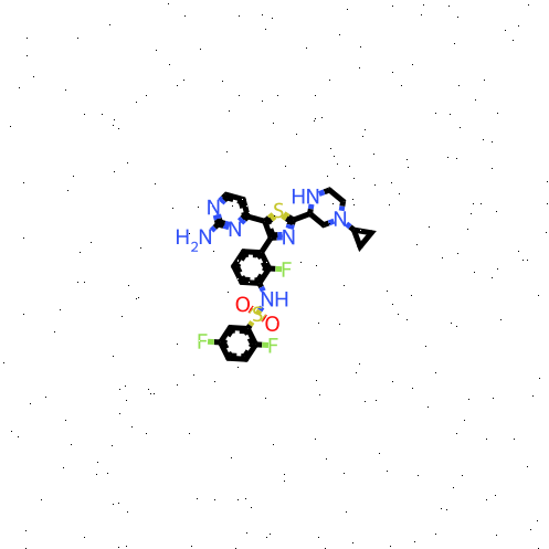 Nc1nccc(-c2sc(C3CN(C4CC4)CCN3)nc2-c2cccc(NS(=O)(=O)c3cc(F)ccc3F)c2F)n1